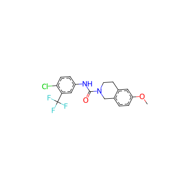 COc1ccc2c(c1)CCN(C(=O)Nc1ccc(Cl)c(C(F)(F)F)c1)C2